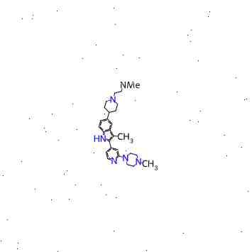 CNCCN1CCC(c2ccc3[nH]c(-c4ccnc(N5CCN(C)CC5)c4)c(C)c3c2)CC1